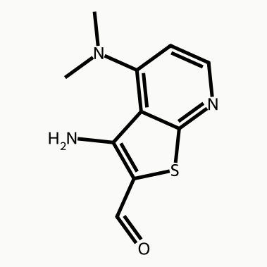 CN(C)c1ccnc2sc(C=O)c(N)c12